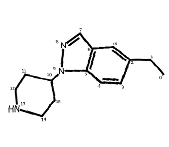 CCc1ccc2c(cnn2C2CCNCC2)c1